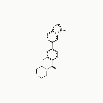 O=C(c1ccc(-c2cn3c(Br)cnc3cn2)cc1Cl)N1CCOCC1